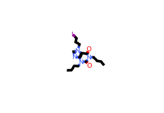 CCCCn1c(=O)c2c(ncn2CCCI)n(CCCC)c1=O